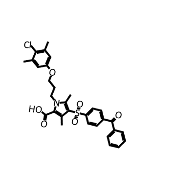 Cc1cc(OCCCn2c(C)c(S(=O)(=O)c3ccc(C(=O)c4ccccc4)cc3)c(C)c2C(=O)O)cc(C)c1Cl